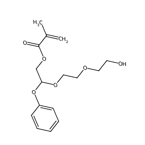 C=C(C)C(=O)OCC(OCCOCCO)Oc1ccccc1